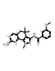 COc1cccc(C(=O)Nc2nn(C)c3c2C(C)(C)Cc2cnc(N)nc2-3)c1